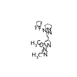 COc1cc(/C=C/c2nc3n(n2)CCC[C@H]3c2cccc(F)c2F)cnc1-n1cnc(C)c1